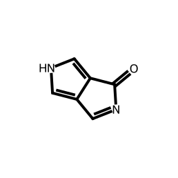 O=C1N=Cc2c[nH]cc21